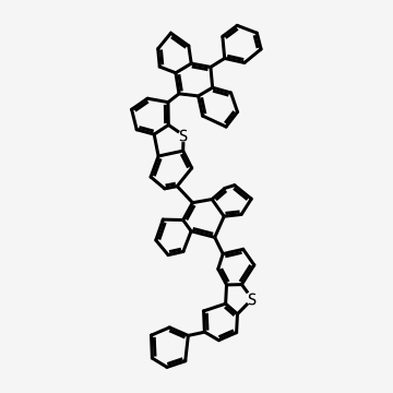 c1ccc(-c2ccc3sc4ccc(-c5c6ccccc6c(-c6ccc7c(c6)sc6c(-c8c9ccccc9c(-c9ccccc9)c9ccccc89)cccc67)c6ccccc56)cc4c3c2)cc1